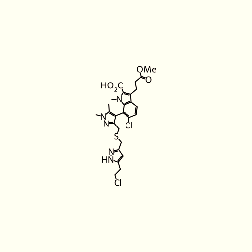 COC(=O)CCc1c(C(=O)O)n(C)c2c(-c3c(CSCc4cc(CCCl)[nH]n4)nn(C)c3C)c(Cl)ccc12